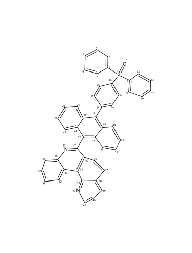 O=P(c1ccccc1)(c1ccccc1)c1ccc(-c2c3ccccc3c(-c3nc4ccccc4c4c3ccc3cccnc34)c3ccccc23)cc1